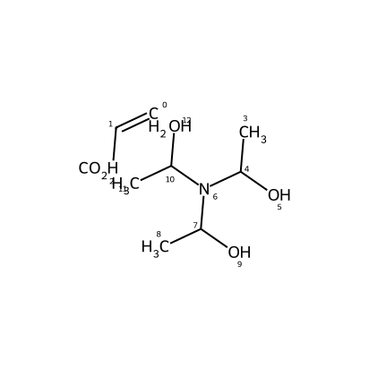 C=CC(=O)O.CC(O)N(C(C)O)C(C)O